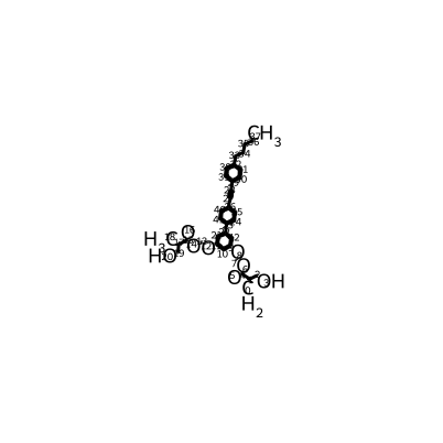 C=C(CO)C(=O)OCOc1cc(OCOC(=O)C(C)CO)cc(-c2ccc(C#Cc3ccc(CCCCC)cc3)cc2)c1